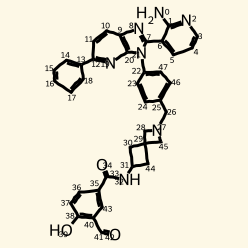 Nc1ncccc1-c1nc2ccc(-c3ccccc3)nc2n1-c1ccc(CN2CC3(CC(NC(=O)c4ccc(O)c(C=O)c4)C3)C2)cc1